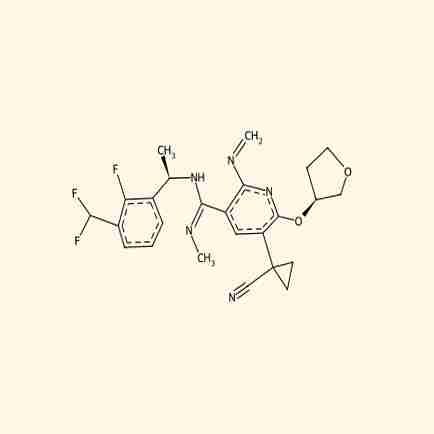 C=Nc1nc(O[C@H]2CCOC2)c(C2(C#N)CC2)cc1/C(=N\C)N[C@H](C)c1cccc(C(F)F)c1F